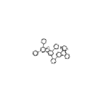 c1ccc(-c2cc(-c3ccccc3)c3oc4c(-c5ccccc5)cc(-c5ccccc5-c5ccc6c(c5)c5ccccc5c5nccnc65)cc4c3c2)cc1